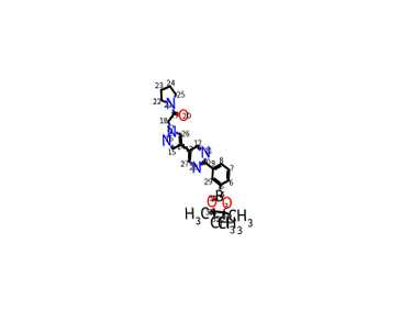 CC1(C)OB(c2cccc(-c3ncc(-c4cnn(CC(=O)N5CCCC5)c4)cn3)c2)OC1(C)C